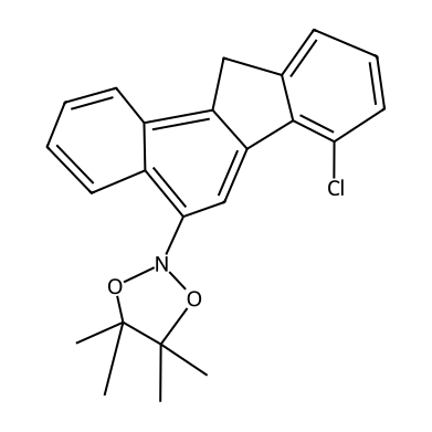 CC1(C)ON(c2cc3c(c4ccccc24)Cc2cccc(Cl)c2-3)OC1(C)C